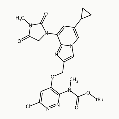 CN1C(=O)CN(c2cc(C3CC3)cn3cc(COc4cc(Cl)nnc4N(C)C(=O)OC(C)(C)C)nc23)C1=O